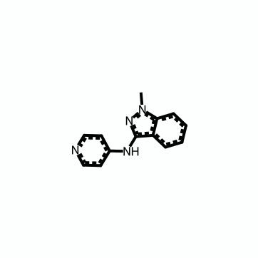 Cn1nc(Nc2ccncc2)c2ccccc21